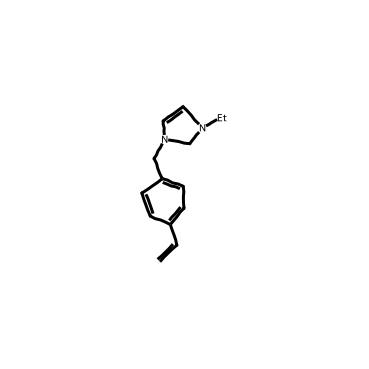 C=Cc1ccc(CN2C=CN(CC)C2)cc1